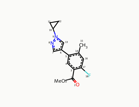 COC(=O)c1cc(-c2cnn(C3CC3)c2)c(C)cc1F